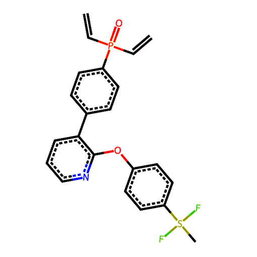 C=CP(=O)(C=C)c1ccc(-c2cccnc2Oc2ccc(S(C)(F)F)cc2)cc1